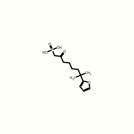 CC(C)(CCCCC(=O)CP(=O)(O)O)c1ccco1